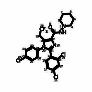 O=C(NN1CCCCC1)c1nc(-c2ccc(Cl)cc2Cl)n(-c2ccc(Cl)cc2)c1CC(F)(F)F